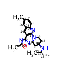 Cc1ccc2nc(N3CCC(N[C@H](C)C(C)C)CC3)c(-c3noc(C)n3)cc2c1